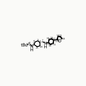 CC(C)(C)SN[C@H]1CC[C@H](CNc2ccc(-c3ccco3)cc2)CC1